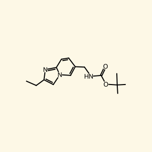 CCc1cn2cc(CNC(=O)OC(C)(C)C)ccc2n1